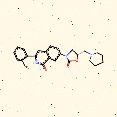 O=C1O[C@@H](CN2CCCCC2)CN1c1ccc2cc(-c3ccccc3C(F)(F)F)[nH]c(=O)c2c1